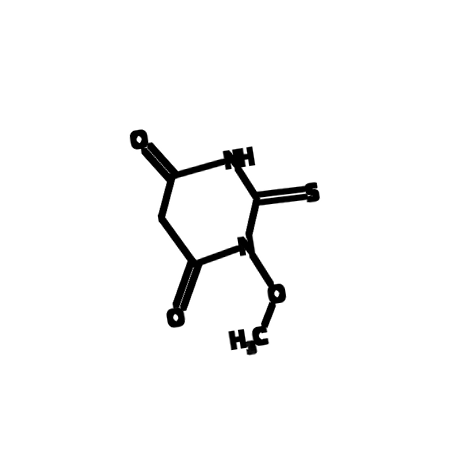 CON1C(=O)CC(=O)NC1=S